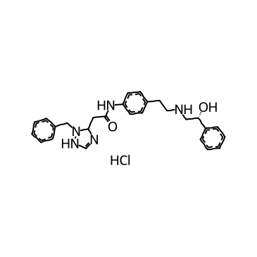 Cl.O=C(CC1N=CNN1Cc1ccccc1)Nc1ccc(CCNC[C@H](O)c2ccccc2)cc1